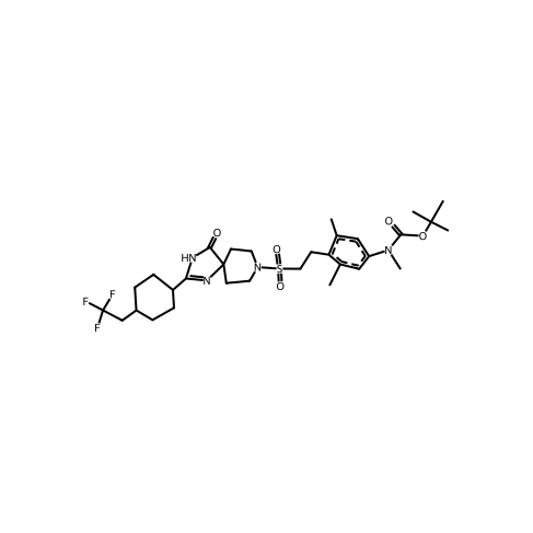 Cc1cc(N(C)C(=O)OC(C)(C)C)cc(C)c1CCS(=O)(=O)N1CCC2(CC1)N=C(C1CCC(CC(F)(F)F)CC1)NC2=O